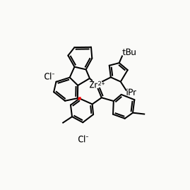 Cc1ccc([C](c2ccc(C)cc2)=[Zr+2]([C]2=CC(C(C)(C)C)=CC2C(C)C)[CH]2c3ccccc3-c3ccccc32)cc1.[Cl-].[Cl-]